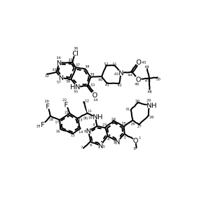 COc1nc2nc(C)nc(N[C@H](C)c3cccc(C(F)F)c3F)c2cc1C1CCNCC1.Cc1nc(Cl)c2cc(C3CCN(C(=O)OC(C)(C)C)CC3)c(=O)[nH]c2n1